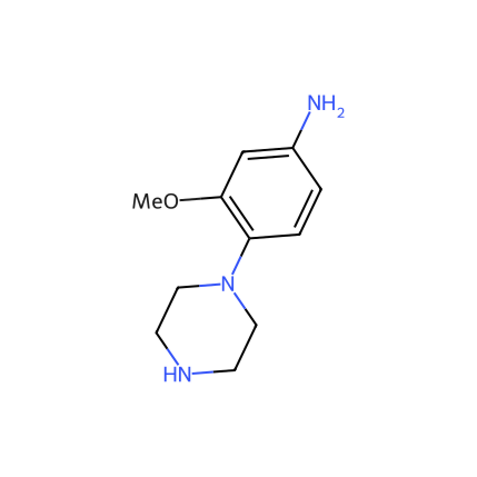 COc1cc(N)ccc1N1CCNCC1